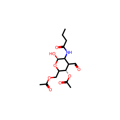 CCCC(=O)NC1C(C=O)[C@H](OC(C)=O)C(COC(C)=O)O[C@H]1O